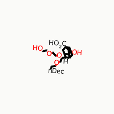 CCCCCCCCCCCCOCC(OCCOCCO)[C@H]1C2CC3(O)CC1C[C@](C(=O)O)(C2)C3